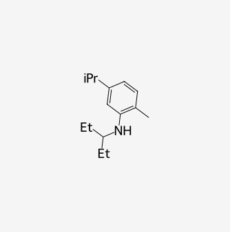 CCC(CC)Nc1cc(C(C)C)ccc1C